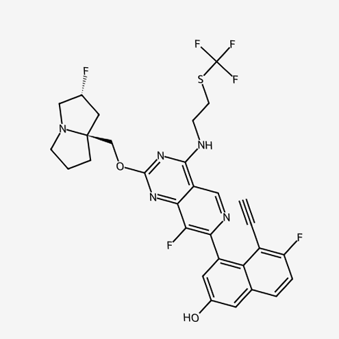 C#Cc1c(F)ccc2cc(O)cc(-c3ncc4c(NCCSC(F)(F)F)nc(OC[C@@]56CCCN5C[C@H](F)C6)nc4c3F)c12